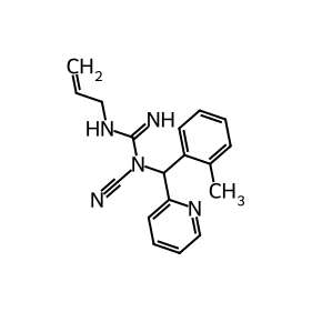 C=CCNC(=N)N(C#N)C(c1ccccn1)c1ccccc1C